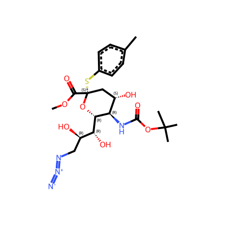 COC(=O)[C@@]1(Sc2ccc(C)cc2)C[C@H](O)[C@@H](NC(=O)OC(C)(C)C)[C@H]([C@H](O)[C@H](O)CN=[N+]=[N-])O1